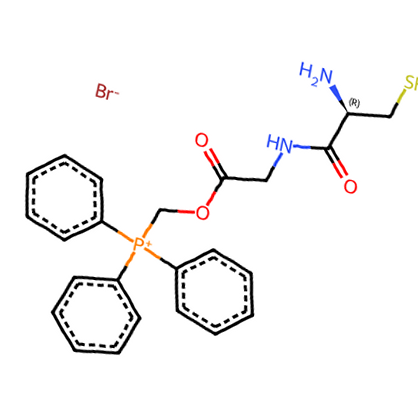 N[C@@H](CS)C(=O)NCC(=O)OC[P+](c1ccccc1)(c1ccccc1)c1ccccc1.[Br-]